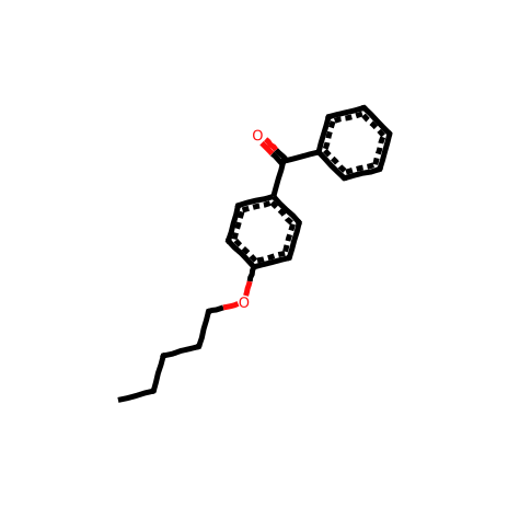 CCCCCOc1ccc(C(=O)c2ccccc2)cc1